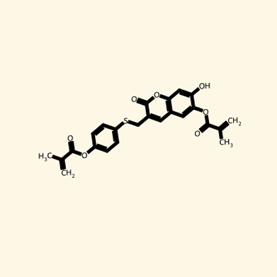 C=C(C)C(=O)Oc1ccc(SCc2cc3cc(OC(=O)C(=C)C)c(O)cc3oc2=O)cc1